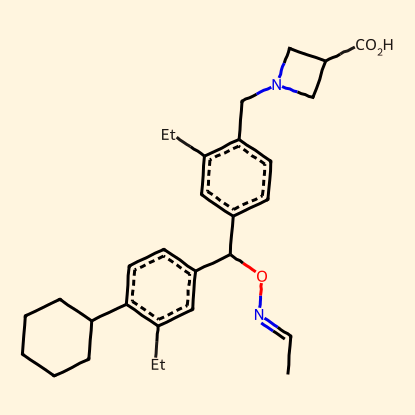 C/C=N/OC(c1ccc(CN2CC(C(=O)O)C2)c(CC)c1)c1ccc(C2CCCCC2)c(CC)c1